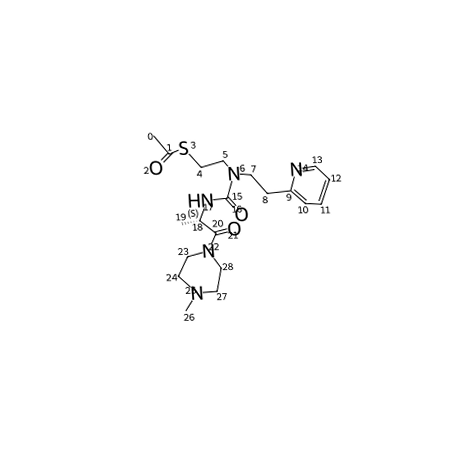 CC(=O)SCCN(CCc1ccccn1)C(=O)N[C@@H](C)C(=O)N1CCN(C)CC1